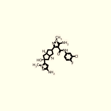 Cn1nc(N)cc1[C@]1(O)C[C@H]2CC(c3nn(C)c(N)c3C(=O)Nc3ccc(F)c(Cl)c3)C[C@H]2C1